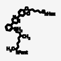 CCCCCCOCCCCC1Oc2ccc(-c3ncc(-c4ccccc4[SiH2]CCC(C)CCCCC(C)CCCCC)cn3)cc2O1